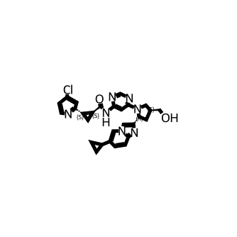 O=C(Nc1cc(N2C[C@@H](CO)C[C@@H]2c2cn3cc(C4CC4)ccc3n2)ncn1)[C@H]1C[C@@H]1c1cc(Cl)ccn1